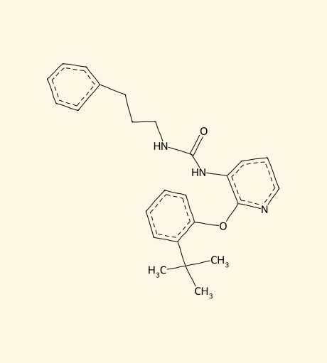 CC(C)(C)c1ccccc1Oc1ncccc1NC(=O)NCCCc1ccccc1